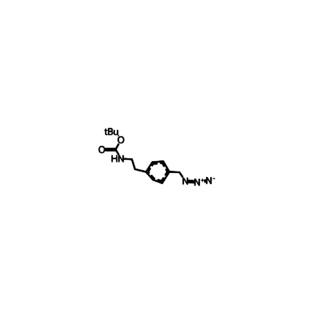 CC(C)(C)OC(=O)NCCc1ccc(CN=[N+]=[N-])cc1